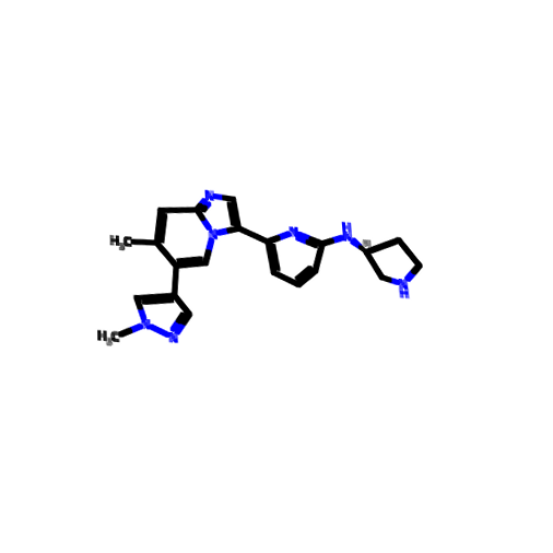 Cc1cc2ncc(-c3cccc(N[C@H]4CCNC4)n3)n2cc1-c1cnn(C)c1